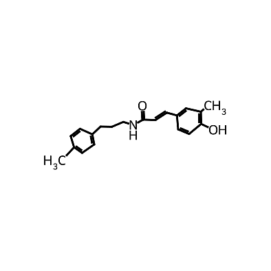 Cc1ccc(CCCNC(=O)/C=C/c2ccc(O)c(C)c2)cc1